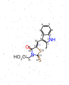 Cc1[nH]c2ccccc2c1/C=C1\SC(=S)N(CC(=O)O)C1=O